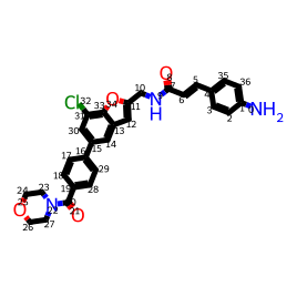 Nc1ccc(C=CC(=O)NCc2cc3cc(-c4ccc(C(=O)N5CCOCC5)cc4)cc(Cl)c3o2)cc1